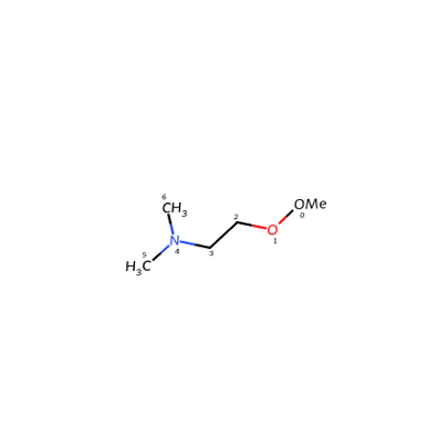 COOCCN(C)C